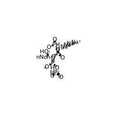 CCCCCCCCCO.O=[PH]([O-])O[PH](=O)[O-].O=[PH]([O-])O[PH](=O)[O-].[Na+].[Na+].[Na+].[Na+]